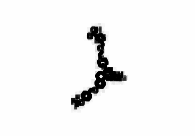 Cl.Cl.Nc1nc2c(c(N3CCN(CCOCc4nc(C(=O)O)cs4)CC3)n1)CCc1cc(OCc3ccc(OC(F)(F)F)cc3)ccc1-2